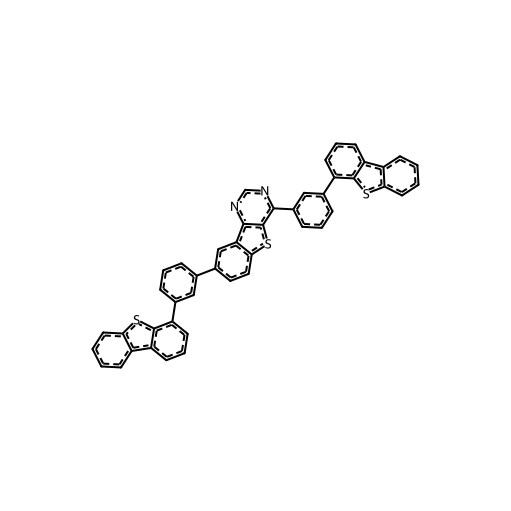 c1cc(-c2ccc3sc4c(-c5cccc(-c6cccc7c6sc6ccccc67)c5)ncnc4c3c2)cc(-c2cccc3c2sc2ccccc23)c1